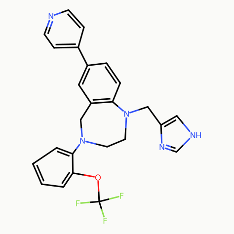 FC(F)(F)Oc1ccccc1N1CCN(Cc2c[nH]cn2)c2ccc(-c3ccncc3)cc2C1